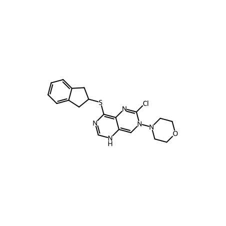 ClC1=NC2=C(SC3Cc4ccccc4C3)N=CNC2=CN1N1CCOCC1